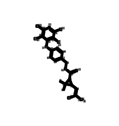 CC1(C)C(/C=C(\Cl)C(F)(F)F)C1C(=O)OCc1ccc(Oc2c(Cl)c(Cl)nc(Cl)c2Cl)cc1